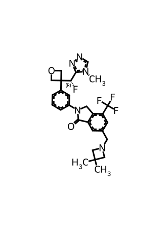 Cn1cnnc1[C@H](F)C1(c2cccc(N3Cc4c(cc(CN5CC(C)(C)C5)cc4C(F)(F)F)C3=O)c2)COC1